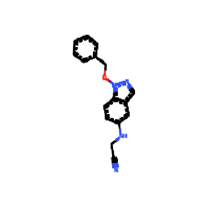 N#CCNc1ccc2c(cnn2OCc2ccccc2)c1